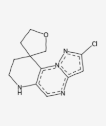 Clc1cc2ncc3c(n2n1)C1(CCN3)CCOC1